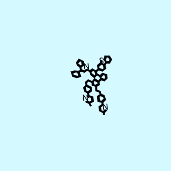 Cc1ccc(-c2ccc(CCc3cc(CCc4ccc(-c5ccc(C)cn5)cc4)cc(-c4ccccc4-c4ccc(-c5cc(-c6ccccc6)c6ccccc6n5)cc4-c4ccc5c(c4)sc4ccccc45)c3)cc2)nc1